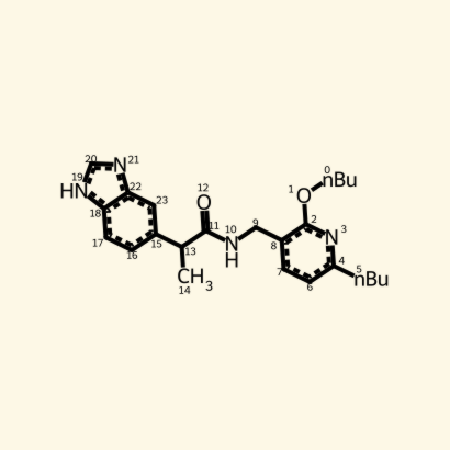 CCCCOc1nc(CCCC)ccc1CNC(=O)C(C)c1ccc2[nH]cnc2c1